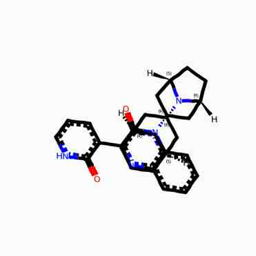 O=c1[nH]cccc1-c1nc2ccccc2n([C@H]2C[C@H]3CC[C@@H](C2)N3[C@H]2C[C@@H]3CCC[C@@H](C3)C2)c1=O